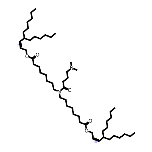 CCCCCCC(/C=C\COC(=O)CCCCCCCN(CCCCCCCC(=O)OC/C=C\C(CCCCCC)CCCCCC)C(=O)CCCN(C)C)CCCCCC